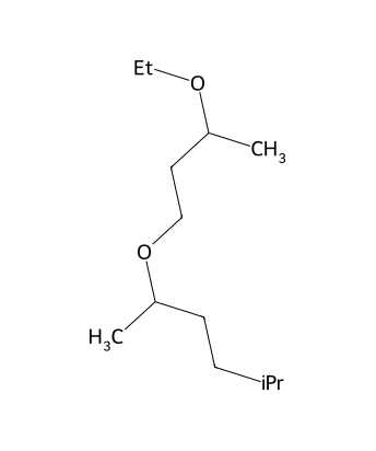 CCOC(C)CCOC(C)CCC(C)C